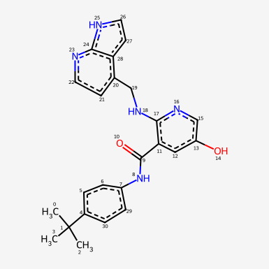 CC(C)(C)c1ccc(NC(=O)c2cc(O)cnc2NCc2ccnc3[nH]ccc23)cc1